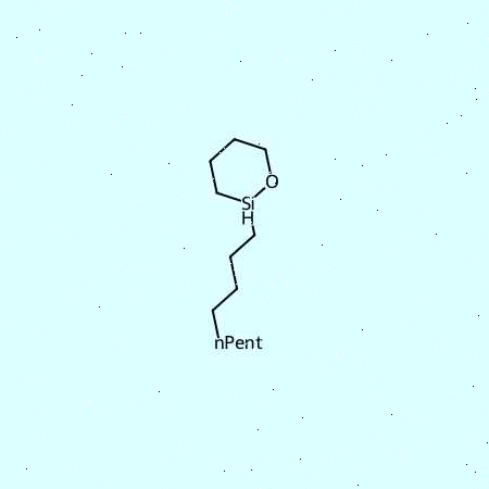 CCCCCCCCC[SiH]1CCCCO1